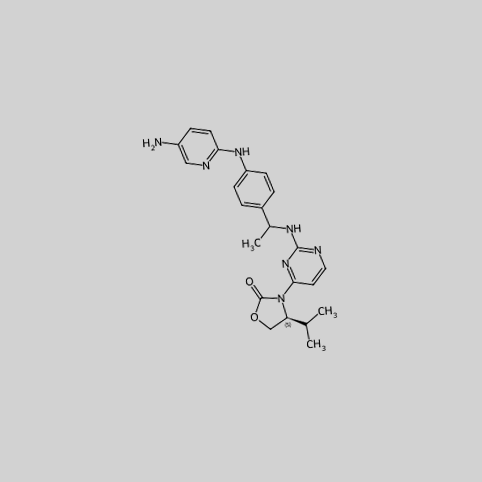 CC(Nc1nccc(N2C(=O)OC[C@@H]2C(C)C)n1)c1ccc(Nc2ccc(N)cn2)cc1